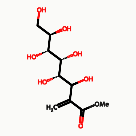 C=C(C(=O)OC)C(O)[C@H](O)[C@@H](O)[C@H](O)[C@H](O)CO